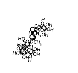 CC1=C[C@]23CC[C@H]4C(C)(C(=O)O[C@@H]5O[C@H](CO)[C@@H](O)[C@H](O)[C@H]5O)CCC[C@]4(C)[C@H]2CC[C@]1(O[C@@H]1O[C@H](CO)[C@@H](O)[C@H](O[C@@H]2O[C@H](CO)[C@@H](O)[C@H](O)[C@H]2O)[C@H]1O[C@@H]1O[C@H](CO)[C@@H](O)[C@H](O)[C@H]1O)C3